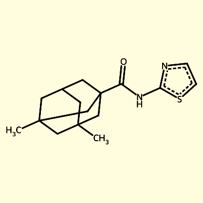 CC12CC3CC(C)(C1)CC(C(=O)Nc1nccs1)(C3)C2